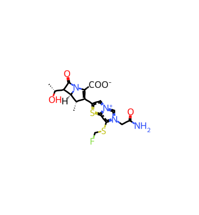 C[C@@H](O)C1C(=O)N2C(C(=O)[O-])=C(c3c[n+]4cn(CC(N)=O)c(SCF)c4s3)[C@H](C)[C@@H]12